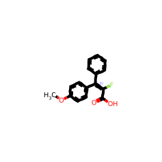 COc1ccc(/C(=C(/F)C(=O)O)c2ccccc2)cc1